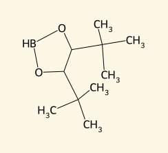 CC(C)(C)C1OBOC1C(C)(C)C